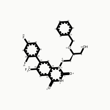 O=c1[nH]c(=O)n(SC[C@H](CO)OCc2ccccc2)c2cc(-c3ccc(F)cc3F)c(C(F)(F)F)cc12